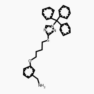 NCc1cccc(OCCCCSc2ncn(C(c3ccccc3)(c3ccccc3)c3ccccc3)n2)c1